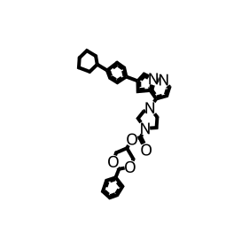 O=C(OC1COC(c2ccccc2)OC1)N1CCN(c2ccnn3cc(-c4ccc(C5CCCCC5)cc4)cc23)CC1